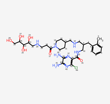 Cc1ccccc1CC(CNCC1CCN(C(=O)CCNCC(O)C(O)C(O)CO)CC1)CNC(=O)c1nc(N)c(N)nc1Cl